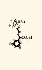 CCOC(=O)/C(=N\CCO[Si](C)(C)C(C)(C)C)c1cc(F)cc(F)c1